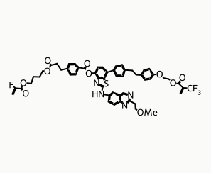 C=C(F)C(=O)OCCCCOC(=O)CCc1ccc(C(=O)Oc2ccc(-c3ccc(CCc4ccc(OCCOC(=O)C(=C)C(F)(F)F)cc4)cc3)c3sc(Nc4ccc5nc(CCOC)ncc5c4)nc23)cc1